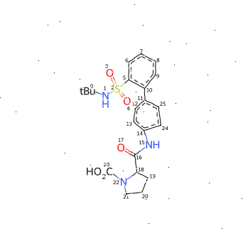 CC(C)(C)NS(=O)(=O)c1ccccc1-c1ccc(NC(=O)C2CCCN2C(=O)O)cc1